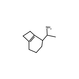 CC(N)C1CCCC2=C1CC2